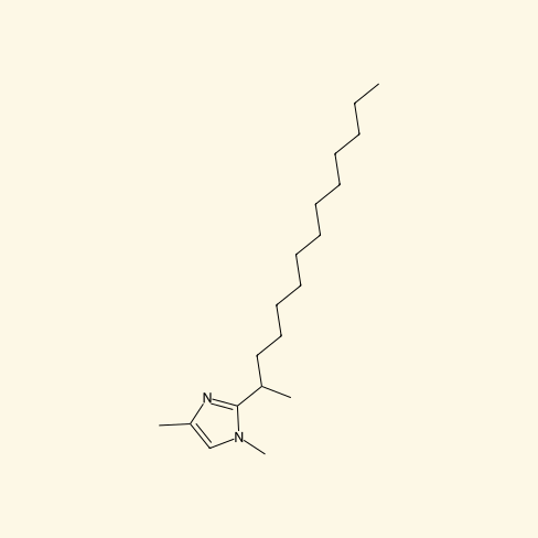 CCCCCCCCCCCCC(C)c1nc(C)cn1C